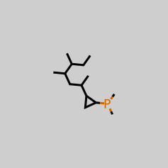 CCC(C)C(C)CC(C)C1CC1P(C)C